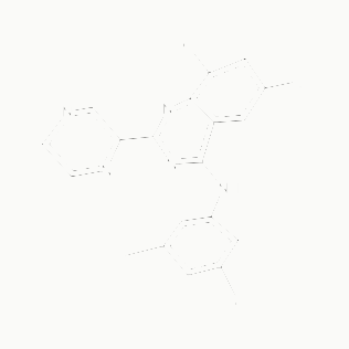 Cc1cc(Cl)cc2c(Nc3cc(Cl)cc(Cl)c3)nc(-c3cnccn3)nc12